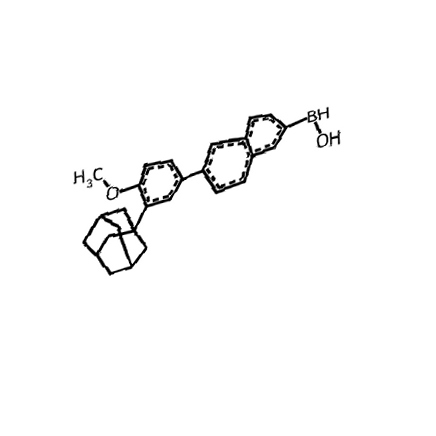 COc1ccc(-c2ccc3cc(BO)ccc3c2)cc1C12CC3CC(CC(C3)C1)C2